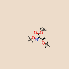 C=C(O[Si](C)(C)C)/C(=N/O[Si](C)(C)C)C(=O)OC(C)(C)C